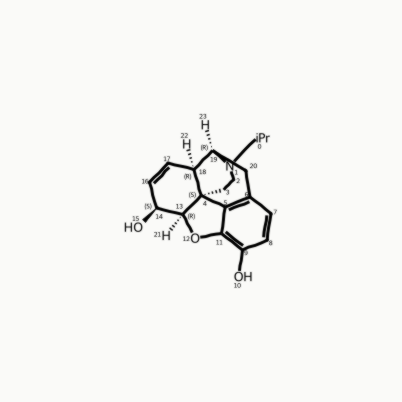 CC(C)N1CC[C@]23c4c5ccc(O)c4O[C@H]2[C@@H](O)C=C[C@H]3[C@H]1C5